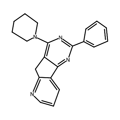 c1ccc(-c2nc3c(c(N4CCCCC4)n2)Cc2ncccc2-3)cc1